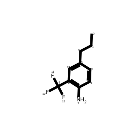 CCCc1ccc(N)c(C(F)(F)F)c1